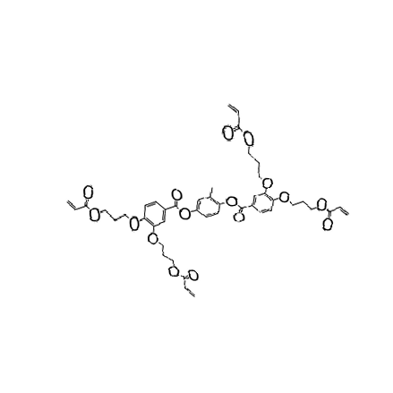 C=CC(=O)OCCCOc1ccc(C(=O)Oc2ccc(OC(=O)c3ccc(OCCCOC(=O)C=C)c(OCCCOC(=O)C=C)c3)c(C)c2)cc1OCCCOC(=O)C=C